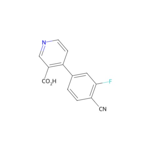 N#Cc1ccc(-c2ccncc2C(=O)O)cc1F